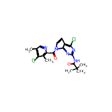 Cc1cnc(C(=O)n2ccc3c(Cl)nc(NC(=O)C(C)(C)C)nc32)c(C)c1Cl